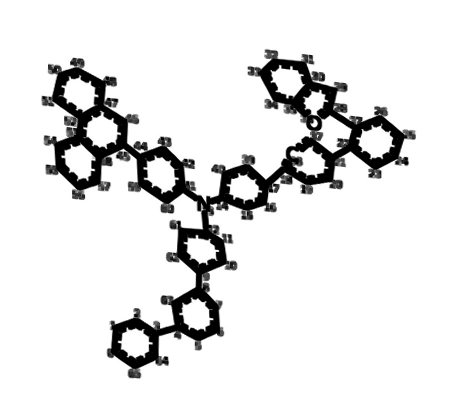 c1ccc(-c2cccc(-c3ccc(N(c4ccc(-c5ccc(-c6ccccc6-c6cc7ccccc7o6)cc5)cc4)c4ccc(-c5cc6ccccc6c6ccccc56)cc4)cc3)c2)cc1